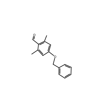 Cc1cc(OCc2ccccc2)cc(C)c1[C]=O